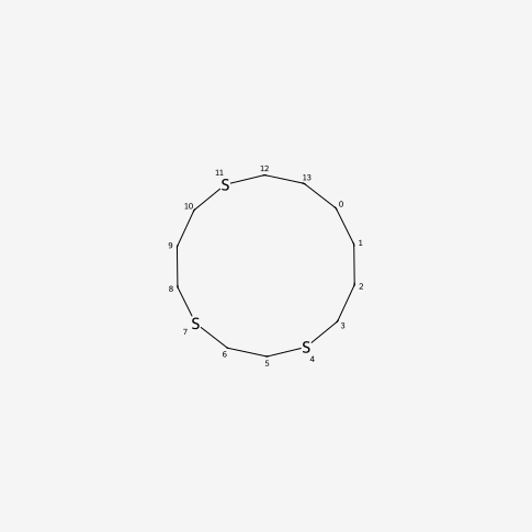 C1CCCSCCSCCCSCC1